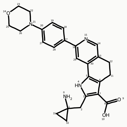 NC1(Cc2[nH]c3c(c2C(=O)O)CCc2cnc(-c4ccc(N5CCOCC5)cc4)cc2-3)CC1